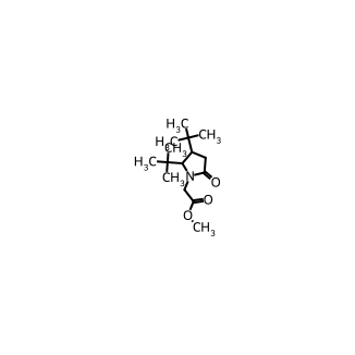 COC(=O)CN1C(=O)CC(C(C)(C)C)C1C(C)(C)C